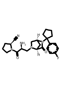 N#C[C@@H]1CCCN1C(=O)[C@@H](N)CN1C[C@@H]2C[C@H]1C(=O)N2C1(c2ccc(F)cc2)CCCC1